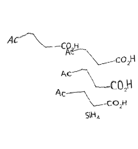 CC(=O)CCC(=O)O.CC(=O)CCC(=O)O.CC(=O)CCC(=O)O.CC(=O)CCC(=O)O.[SiH4]